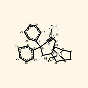 COCC[N+]1(C)C2CCC1CC(CC(C#N)(c1ccccc1)c1ccccc1)C2